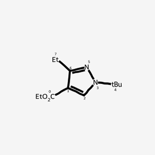 CCOC(=O)c1cn(C(C)(C)C)nc1CC